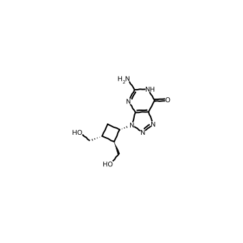 Nc1nc2c(nnn2[C@H]2C[C@@H](CO)[C@@H]2CO)c(=O)[nH]1